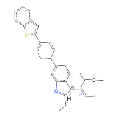 C=C=C1Cc2cc(C3C=CC(c4cc5ccccc5s4)=CC3)cc3c2[C@H](C(CC)=N3)/C1=C/C